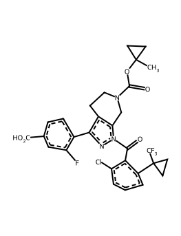 CC1(OC(=O)N2CCc3c(-c4ccc(C(=O)O)cc4F)nn(C(=O)c4c(Cl)cccc4C4(C(F)(F)F)CC4)c3C2)CC1